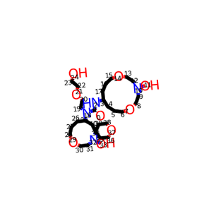 O=C(NC1CCCOCCN(O)CCOCCC1)N(CCOCCO)C1CCCOCCN(O)C2(CCOCC2)C1